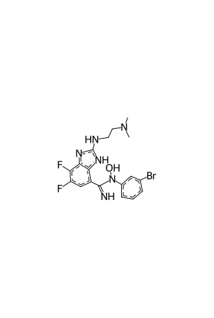 CN(C)CCNc1nc2c(F)c(F)cc(C(=N)N(O)c3cccc(Br)c3)c2[nH]1